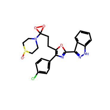 [O-][S+]1CCN(C2(CCc3oc(-c4n[nH]c5ccccc45)nc3-c3ccc(Cl)cc3)OO2)CC1